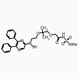 CNS(=O)(=O)NC(=O)COCC(C)(C)OCCN(c1cnc(-c2ccccc2)c(-c2ccccc2)n1)C(C)C